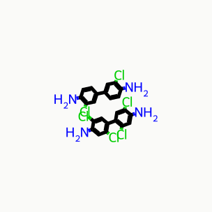 Nc1cc(Cl)c(-c2cc(Cl)c(N)cc2Cl)cc1Cl.Nc1ccc(-c2ccc(N)c(Cl)c2)cc1Cl